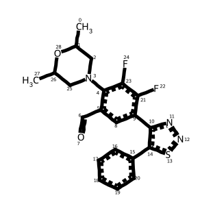 CC1CN(c2c(C=O)cc(-c3nnsc3-c3ccccc3)c(F)c2F)CC(C)O1